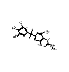 CCCCNC(=O)Oc1c(C(C)(C)C)cc(C(C)(C)c2cc(C(C)(C)C)c(O)c(C(C)(C)C)c2)cc1C(C)(C)C